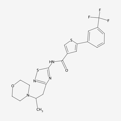 CC(Cc1nsc(NC(=O)c2csc(-c3cccc(C(F)(F)F)c3)c2)n1)N1CCOCC1